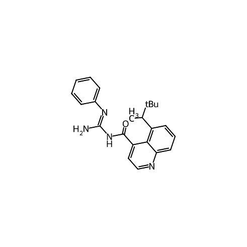 CC(c1cccc2nccc(C(=O)NC(N)=Nc3ccccc3)c12)C(C)(C)C